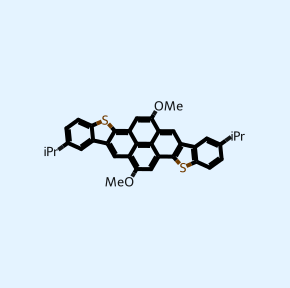 COc1cc2c3sc4ccc(C(C)C)cc4c3cc3c(OC)cc4c5sc6ccc(C(C)C)cc6c5cc1c4c32